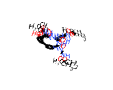 CC(C)(C)OC(=O)NCCC[C@@H]1NC(=O)[C@@H](NC(=O)OC(C)(C)C)Cc2cc(ccc2O)-c2cccc(c2)C[C@@H](C(=O)NCCNC(=O)OC(C)(C)C)NC1=O